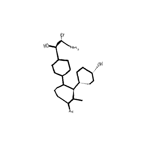 CC[C@H](N)C(O)C1CCC(C2CCC(C(C)=O)C(C)[C@@H]2[C@H]2CC[C@@H](O)CC2)CC1